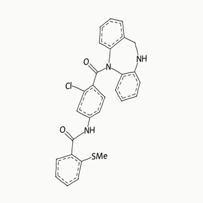 CSc1ccccc1C(=O)Nc1ccc(C(=O)N2c3ccccc3CNc3ccccc32)c(Cl)c1